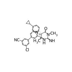 CN1C(=N)N[C@](C)(c2cc(-c3cc(Cl)cc(C#N)c3)ccn2)[C@H](c2ccc(C3CC3)cc2)C1=O